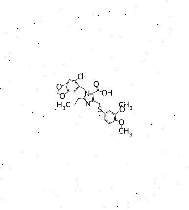 CCCc1nc(CSc2ccc(OC)c(OC)c2)c(C(=O)O)n1Cc1cc2c(cc1Cl)OCO2